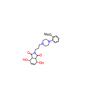 COc1ccccc1N1CCN(CCCN2C(=O)C3C(O)C=CC(O)C3C2=O)CC1